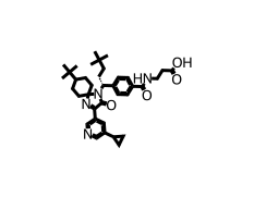 CC(C)(C)CC[C@H](c1ccc(C(=O)NCCC(=O)O)cc1)N1C(=O)C(c2cncc(C3CC3)c2)=NC12CCC(C(C)(C)C)CC2